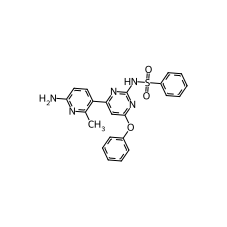 Cc1nc(N)ccc1-c1cc(Oc2ccccc2)nc(NS(=O)(=O)c2ccccc2)n1